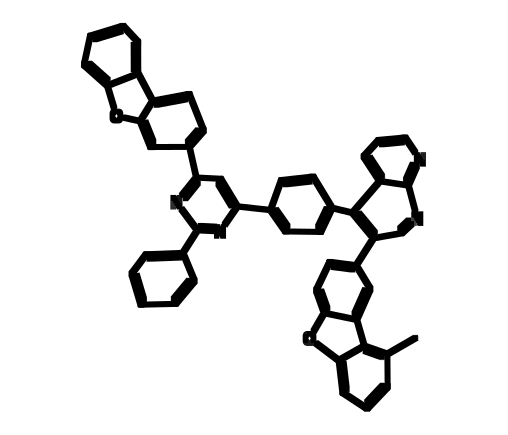 Cc1cccc2oc3ccc(-c4cnc5ncccc5c4-c4ccc(-c5cc(-c6ccc7c(c6)oc6ccccc67)nc(-c6ccccc6)n5)cc4)cc3c12